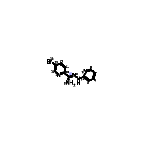 N/C(=N\Nc1ccccn1)c1ccc(Br)cn1